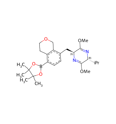 COC1=N[C@H](C(C)C)C(OC)=N[C@H]1Cc1ccc(B2OC(C)(C)C(C)(C)O2)c2c1COCC2